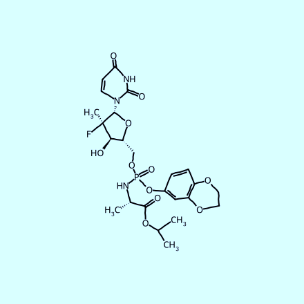 CC(C)OC(=O)[C@H](C)NP(=O)(OC[C@H]1O[C@@H](n2ccc(=O)[nH]c2=O)[C@](C)(F)[C@@H]1O)Oc1ccc2c(c1)OCCO2